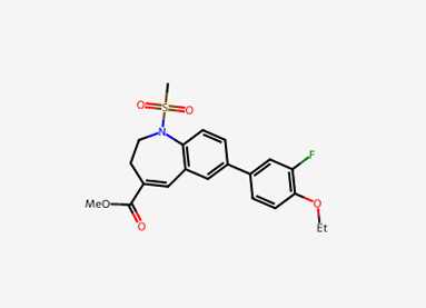 CCOc1ccc(-c2ccc3c(c2)C=C(C(=O)OC)CCN3S(C)(=O)=O)cc1F